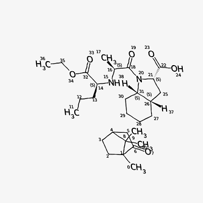 CC12CCC(CC1=O)C2(C)C.CCC[C@H](N[C@@H](C)C(=O)N1[C@H](C(=O)O)C[C@@H]2CCCC[C@@H]21)C(=O)OCC